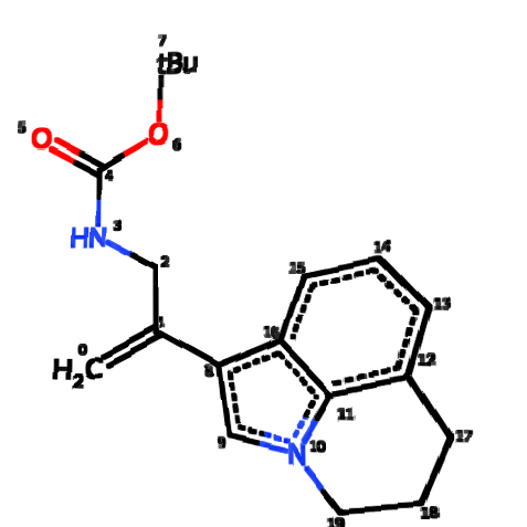 C=C(CNC(=O)OC(C)(C)C)c1cn2c3c(cccc13)CCC2